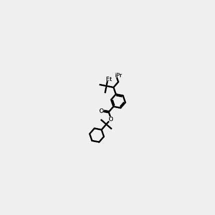 CCC(C)(C)C(CC(C)C)c1cccc(C(=O)OC(C)(C)C2CCCCC2)c1